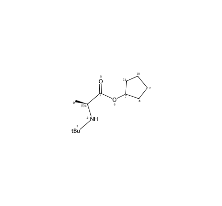 C[C@H](NC(C)(C)C)C(=O)OC1CCCC1